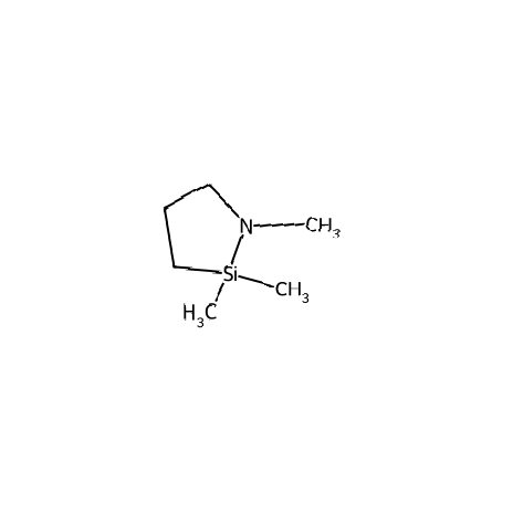 CN1CCC[Si]1(C)C